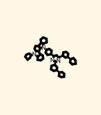 c1ccc(-c2cccc(-c3cc(-c4ccc(-n5c6ccccc6c6ccc7c(c8ccccc8n7-c7ccccc7)c65)cc4)nc(-c4cccc(-c5ccccc5)c4)n3)c2)cc1